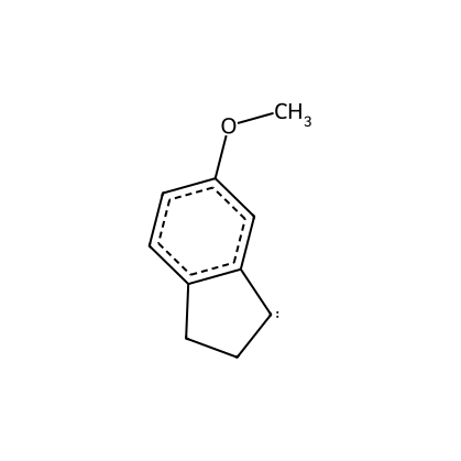 COc1ccc2c(c1)[C]CC2